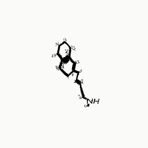 CNC/C=C/Cc1ccc2c(c1)CCCC2